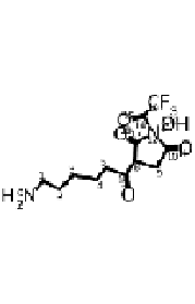 NCCCCCC(=O)C1CC(=O)[N+](O)(C(=O)C(F)(F)F)C1=O